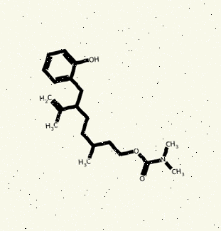 C=C(C)C(CCC(C)CCOC(=O)N(C)C)Cc1ccccc1O